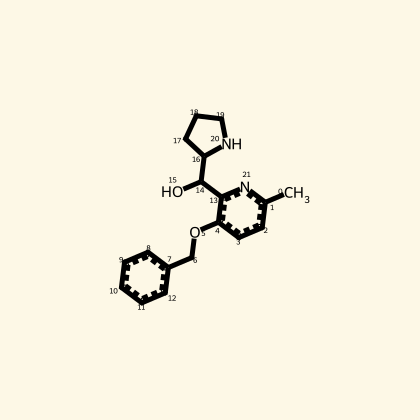 Cc1ccc(OCc2ccccc2)c(C(O)C2CCCN2)n1